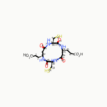 O=C(O)CC[C@H]1CC(=O)N[C@@H](CS)C(=O)N[C@@H](CCC(=O)O)CC(=O)N[C@@H](CS)C(=O)N1